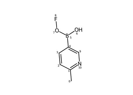 Cc1ccc(B(O)OF)cn1